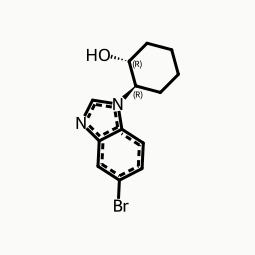 O[C@@H]1CCCC[C@H]1n1cnc2cc(Br)ccc21